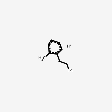 Cc1ccccc1[CH]CC(C)C.[H+]